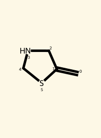 C=C1CNCS1